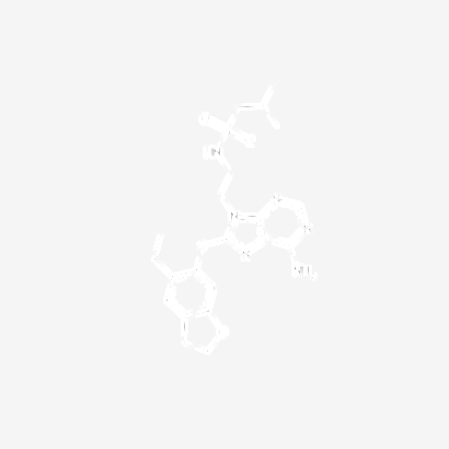 CCc1cc2c(cc1Sc1nc3c(N)ncnc3n1CCNS(=O)(=O)CC(C)C)OCC2